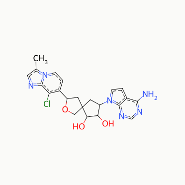 Cc1cnc2c(Cl)c(C3CC4(CO3)CC(n3ccc5c(N)ncnc53)C(O)C4O)ccn12